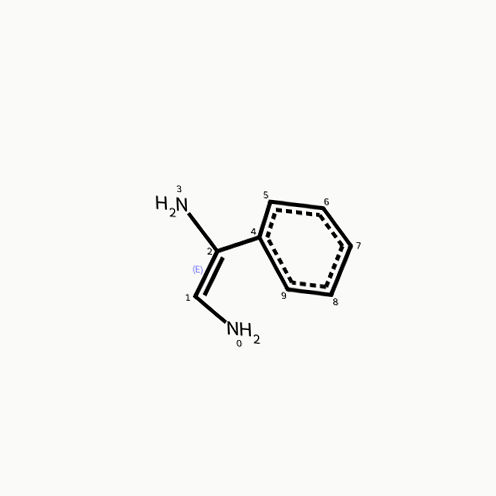 N/C=C(/N)c1ccccc1